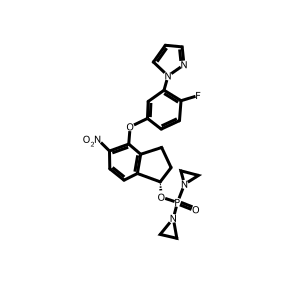 O=[N+]([O-])c1ccc2c(c1Oc1ccc(F)c(-n3cccn3)c1)CC[C@@H]2OP(=O)(N1CC1)N1CC1